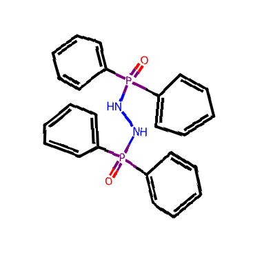 O=P(NNP(=O)(c1ccccc1)c1ccccc1)(c1ccccc1)c1ccccc1